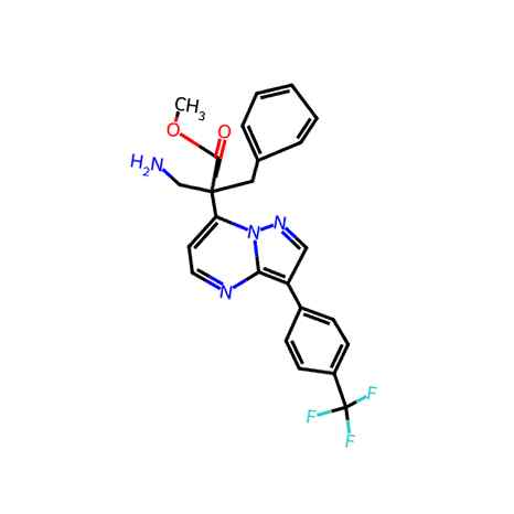 COC(=O)C(CN)(Cc1ccccc1)c1ccnc2c(-c3ccc(C(F)(F)F)cc3)cnn12